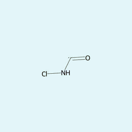 O=[C]NCl